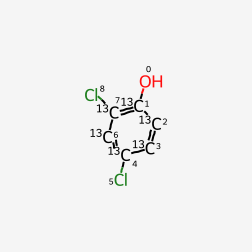 O[13c]1[13cH][13cH][13c](Cl)[13cH][13c]1Cl